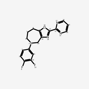 Fc1ccc(N2CCCc3oc(-c4ncccn4)nc3C2)cc1F